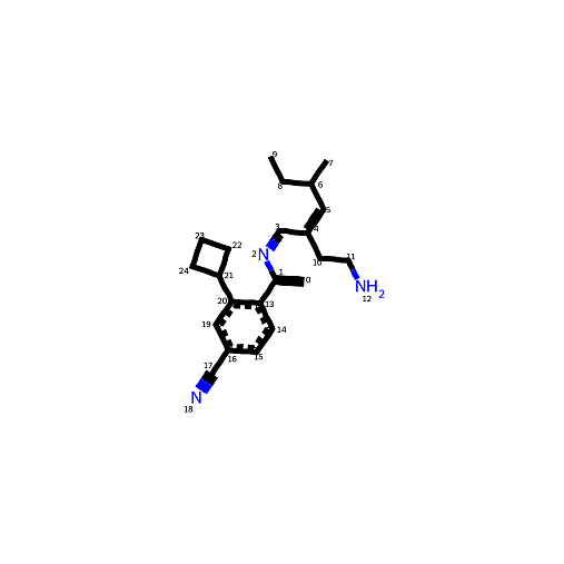 C=C(/N=C\C(=C/C(C)CC)CCN)c1ccc(C#N)cc1C1CCC1